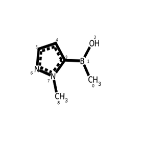 CB(O)c1ccnn1C